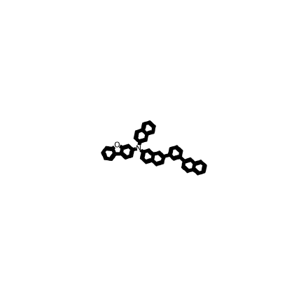 c1cc(-c2ccc3ccccc3c2)cc(-c2ccc3ccc(N(c4ccc5ccccc5c4)c4ccc5c(c4)oc4ccccc45)cc3c2)c1